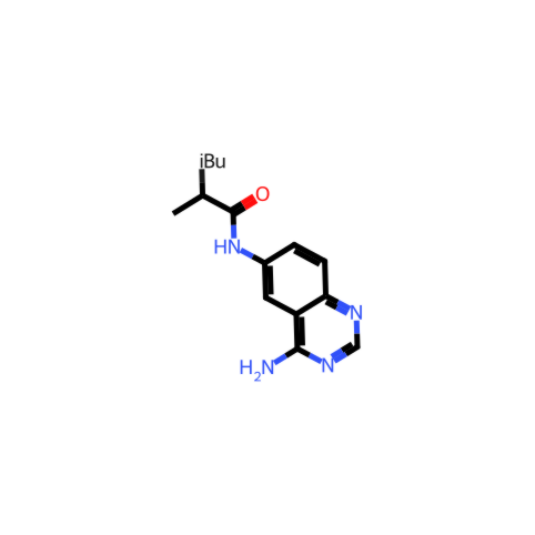 CCC(C)C(C)C(=O)Nc1ccc2ncnc(N)c2c1